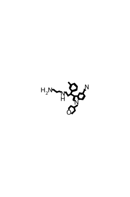 Cc1cccc(C(CCNCCCN)c2cn(CC3CCOCC3)c3ccc(C#N)cc23)c1